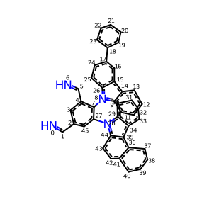 N=Cc1cc(C=N)c(-n2c3ccccc3c3cc(-c4ccccc4)ccc32)c(-n2c3ccccc3c3c4ccccc4ccc32)c1